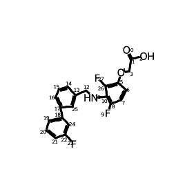 O=C(O)COc1ccc(F)c(NCc2cccc(-c3cccc(F)c3)c2)c1F